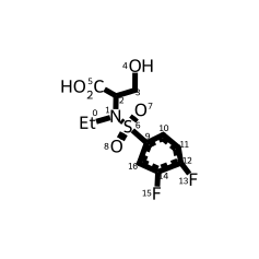 CCN(C(CO)C(=O)O)S(=O)(=O)c1ccc(F)c(F)c1